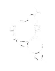 CN(C)C(=O)C[C@H]1/C=C/COC(C)(C)C(=O)NS(=O)(=O)c2ccc3c(c2)N(COCCc2cc(Cl)ccc2CO3)C[C@@H]2CC[C@H]21